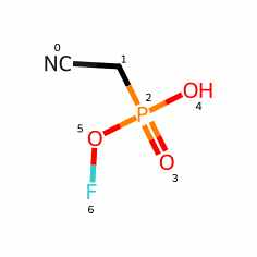 N#CCP(=O)(O)OF